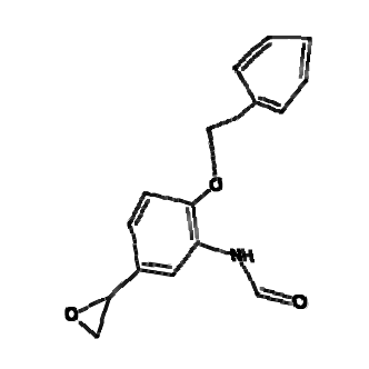 O=CNc1cc(C2CO2)ccc1OCc1ccccc1